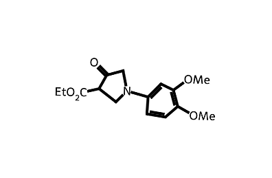 CCOC(=O)C1CN(c2ccc(OC)c(OC)c2)CC1=O